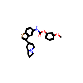 COc1cccc(OC(=O)Nc2ccc3scc(C4=CCN5CCCC5C4)c3c2)c1